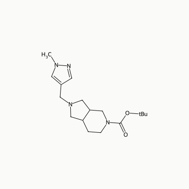 Cn1cc(CN2CC3CCN(C(=O)OC(C)(C)C)CC3C2)cn1